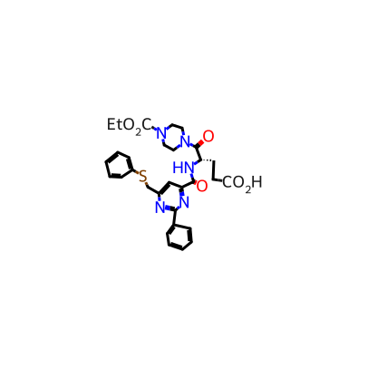 CCOC(=O)N1CCN(C(=O)[C@H](CCC(=O)O)NC(=O)c2cc(CSc3ccccc3)nc(-c3ccccc3)n2)CC1